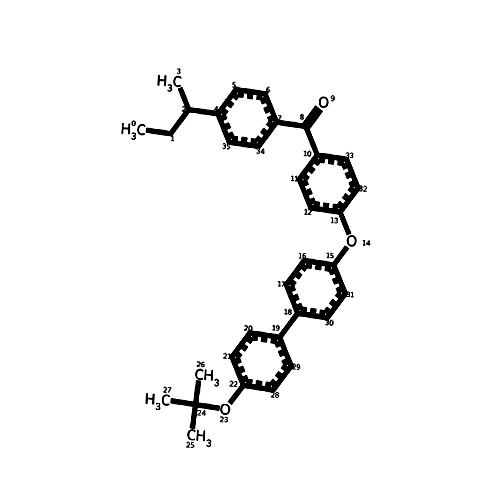 CCC(C)c1ccc(C(=O)c2ccc(Oc3ccc(-c4ccc(OC(C)(C)C)cc4)cc3)cc2)cc1